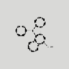 [SnH][c]1cc2c(c3ccccc13)C(c1ccccc1)c1ccccc1-2